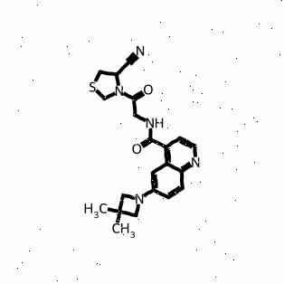 CC1(C)CN(c2ccc3nccc(C(=O)NCC(=O)N4CSCC4C#N)c3c2)C1